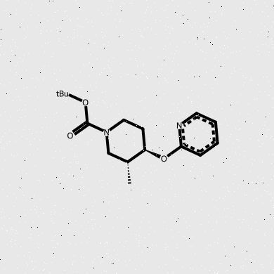 C[C@@H]1CN(C(=O)OC(C)(C)C)CC[C@H]1Oc1ccccn1